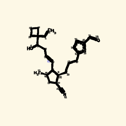 CCC1(C(O)C/C=C/C2[C@@H](CCCc3ccc(C=O)s3)C(C#N)C[C@H]2C)CCC1